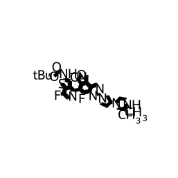 CC1(C)CN(C2CCN(c3ncc4c5c(c(-c6ncc(F)c7sc(NC(=O)OC(C)(C)C)c(C#N)c67)c(F)c4n3)COC5)C2)CCN1